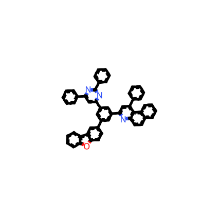 c1ccc(-c2cc(-c3cc(-c4ccc5oc6ccccc6c5c4)cc(-c4cc(-c5ccccc5)c5c(ccc6ccccc65)n4)c3)nc(-c3ccccc3)n2)cc1